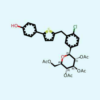 CC(=O)OC[C@H]1O[C@@H](c2ccc(Cl)c(Cc3ccc(-c4ccc(O)cc4)s3)c2)[C@H](OC(C)=O)[C@@H](OC(C)=O)[C@@H]1OC(C)=O